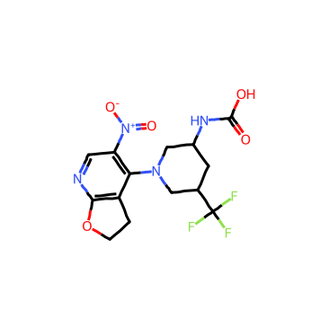 O=C(O)NC1CC(C(F)(F)F)CN(c2c([N+](=O)[O-])cnc3c2CCO3)C1